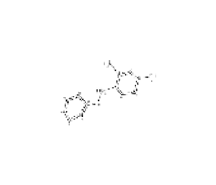 Nc1cc(O)ccc1NCc1ccccn1